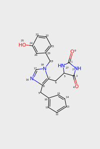 O=C1NC(=O)C(Cc2c(Cc3ccccc3)ncn2Cc2cccc(O)c2)N1